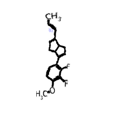 C/C=C/C1CCC2C(c3ccc(OC)c(F)c3F)=CCC12